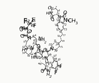 Cn1c(=O)n(C2CCC(=O)NC2=O)c2ccc(CCCC3CCN(C(=O)[C@H](Cc4ccc(F)c(F)c4)NC(=O)[C@H](CCC(N)=O)NC(=O)[C@@H]4CC[C@@H]5CCN(C(=O)OC(=O)C(F)(F)F)C[C@H](N)C(=O)N54)CC3)cc21